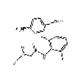 CCN(CC)CC(=O)Nc1c(C)cccc1C.CCOC(=O)c1ccc(N)cc1